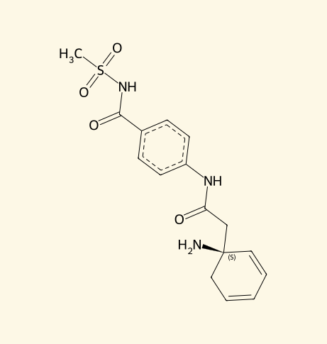 CS(=O)(=O)NC(=O)c1ccc(NC(=O)C[C@]2(N)C=CC=CC2)cc1